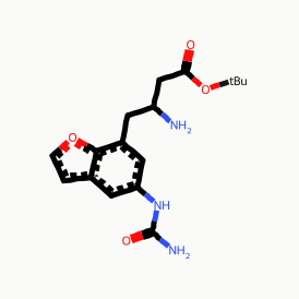 CC(C)(C)OC(=O)CC(N)Cc1cc(NC(N)=O)cc2ccoc12